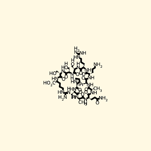 CC(C)C[C@H](NC(=O)[C@@H]1CCCN1)C(=O)N[C@@H](C)C(=O)N[C@@H](CCC(N)=O)C(=O)N[C@@H](C)C(=O)N[C@H](C(=O)N[C@@H](CCCN)C(=O)N[C@@H](CCCNC(=N)N)C(=O)N[C@@H](CO)C(=O)N[C@@H](CO)C(=O)N[C@@H](CO)C(=O)N[C@@H](CCCNC(=N)N)C(=O)O)C(C)C